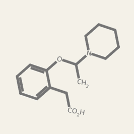 CC(Oc1ccccc1CC(=O)O)N1CCCCC1